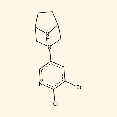 Clc1ncc(N2CC3CCC(C2)N3)cc1Br